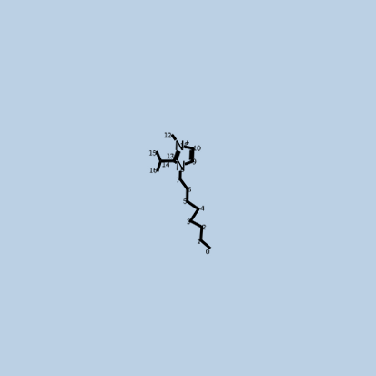 CCCCCCCCn1cc[n+](C)c1C(C)C